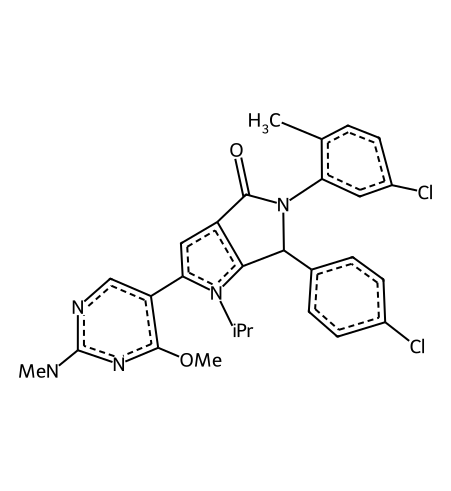 CNc1ncc(-c2cc3c(n2C(C)C)C(c2ccc(Cl)cc2)N(c2cc(Cl)ccc2C)C3=O)c(OC)n1